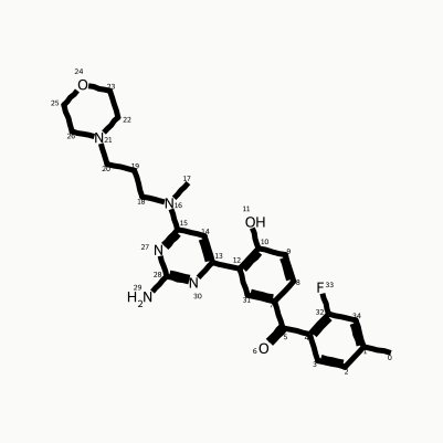 Cc1ccc(C(=O)c2ccc(O)c(-c3cc(N(C)CCCN4CCOCC4)nc(N)n3)c2)c(F)c1